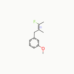 COc1cccc(C/C(C)=C(/C)F)c1